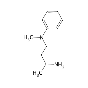 CC(N)CCN(C)c1ccccc1